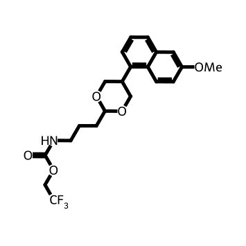 COc1ccc2c(C3COC(CCCNC(=O)OCC(F)(F)F)OC3)cccc2c1